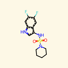 O=S(=O)(Nc1c[nH]c2cc(F)c(F)cc12)N1CCCCC1